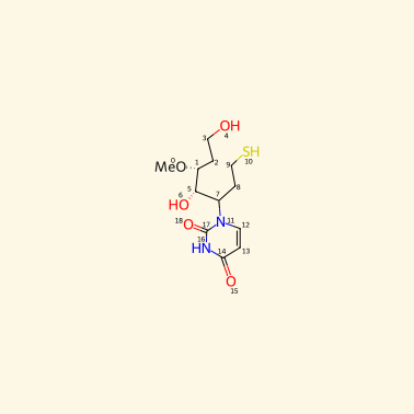 CO[C@H](CCO)[C@@H](O)C(CCS)n1ccc(=O)[nH]c1=O